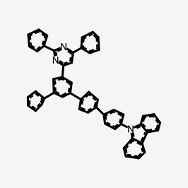 c1ccc(-c2cc(-c3ccc(-c4ccc(-n5c6ccccc6c6ccccc65)cc4)cc3)cc(-c3cc(-c4ccccc4)nc(-c4ccccc4)n3)c2)cc1